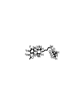 [2H]c1c(F)c([2H])c(N2C([2H])([2H])C([2H])([2H])N(CCCCN([2H])S(=O)(=O)C([2H])([2H])C([2H])(C([2H])([2H])[2H])C([2H])([2H])[2H])C([2H])([2H])C2([2H])[2H])c([2H])c1N([2H])C(C)=O